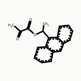 CC(=O)C(=O)OC(C)c1c2ccccc2cc2ccccc12